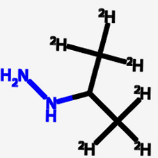 [2H]C([2H])([2H])C(NN)C([2H])([2H])[2H]